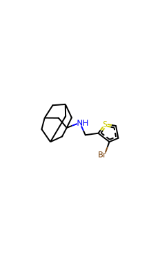 Brc1ccsc1CNC12CC3CC(CC(C3)C1)C2